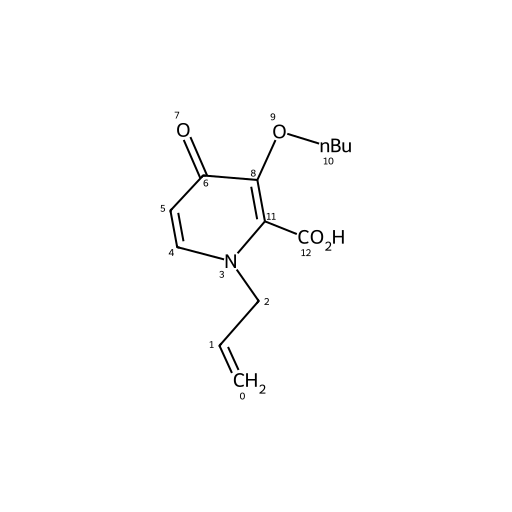 C=CCn1ccc(=O)c(OCCCC)c1C(=O)O